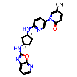 N#Cc1ccc(=O)n(-c2ccc(N[C@H]3CC[C@H](Nc4nc5cccnc5o4)C3)nc2)c1